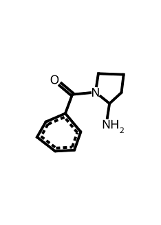 NC1CCCN1C(=O)c1ccccc1